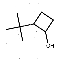 CC(C)(C)C1CCC1O